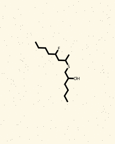 CCCCC(O)CSC(C)CC(F)CCCC